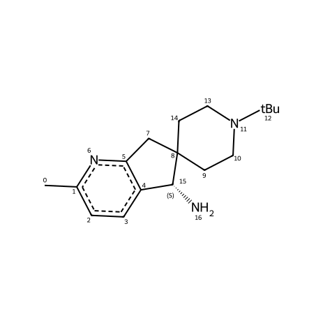 Cc1ccc2c(n1)CC1(CCN(C(C)(C)C)CC1)[C@@H]2N